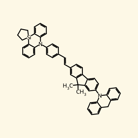 CC1(C)c2cc(/C=C/c3ccc(N4c5ccccc5[Si]5(CCCC5)c5ccccc54)cc3)ccc2-c2ccc(N3c4ccccc4Cc4ccccc43)cc21